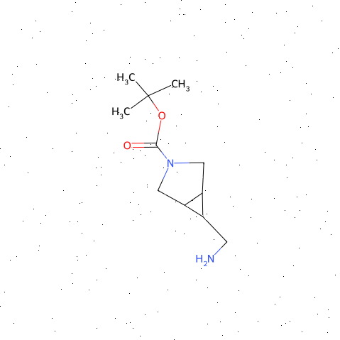 CC(C)(C)OC(=O)N1CC2C(CN)C2C1